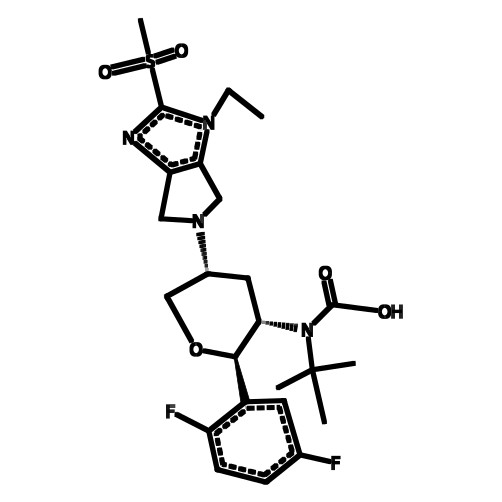 CCn1c(S(C)(=O)=O)nc2c1CN([C@H]1CO[C@H](c3cc(F)ccc3F)[C@@H](N(C(=O)O)C(C)(C)C)C1)C2